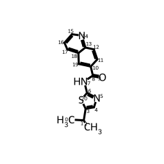 CC(C)c1cnc(NC(=O)c2ccc3ncccc3c2)s1